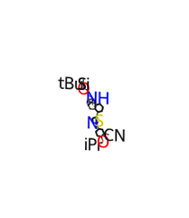 CC(C)Oc1ccc(-c2ncc(-c3cccc4c3CC[C@H]4NCCO[Si](C)(C)C(C)(C)C)s2)cc1C#N